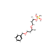 C[C@@H](CCOCc1ccccc1)OCC[C@H](C)OS(C)(=O)=O